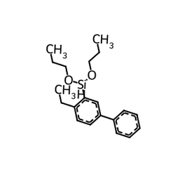 CCCO[SiH](OCCC)c1cc(-c2ccccc2)ccc1CC